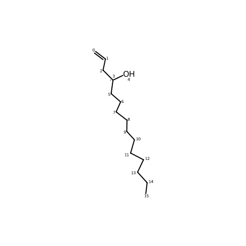 C=CC[C](O)CCCCCCCCCCC